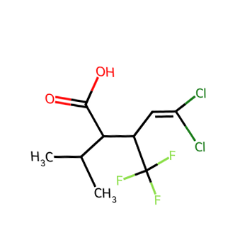 CC(C)C(C(=O)O)C(C=C(Cl)Cl)C(F)(F)F